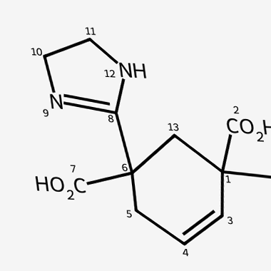 CC1(C(=O)O)C=CCC(C(=O)O)(C2=NCCN2)C1